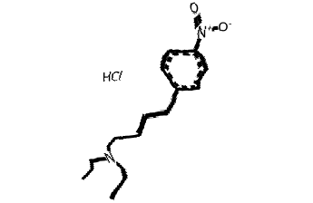 CCN(CC)CC=CCc1ccc([N+](=O)[O-])cc1.Cl